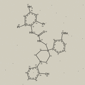 COc1cccc(C2(CNC(=O)Nc3c(C(C)C)cc(N)cc3C(C)C)CCN(c3ncccc3O)CC2)c1